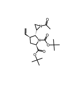 C=C[C@@H]1C[C@H](C(=O)OC(C)(C)C)N(C(=O)OC(C)(C)C)[C@H]1C1CN1C(C)=O